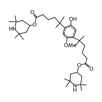 COc1cc(C(C)(C)CCCC(=O)OC2CC(C)(C)NC(C)(C)C2)c(O)cc1C(C)(C)CCCC(=O)OC1CC(C)(C)NC(C)(C)C1